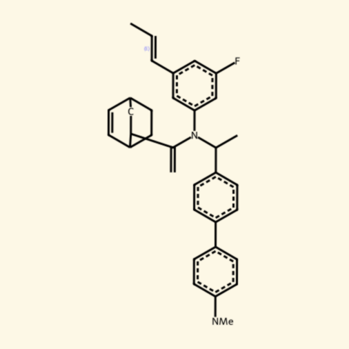 C=C(C1CC2C=CC1CC2)N(c1cc(F)cc(/C=C/C)c1)C(C)c1ccc(-c2ccc(NC)cc2)cc1